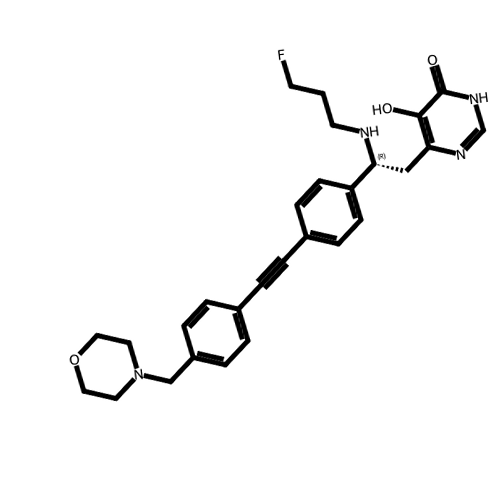 O=c1[nH]cnc(C[C@@H](NCCCF)c2ccc(C#Cc3ccc(CN4CCOCC4)cc3)cc2)c1O